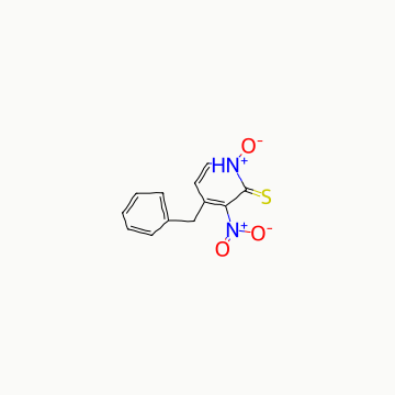 O=[N+]([O-])C1=C(Cc2ccccc2)C=C[NH+]([O-])C1=S